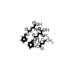 CC(C)C[C@H](N)C(=O)O.N[C@@H](CCC(=O)OCc1ccccc1)C(=O)O.N[C@@H](CCC(=O)OCc1ccccc1)C(=O)O